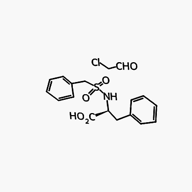 O=C(O)[C@H](Cc1ccccc1)NS(=O)(=O)Cc1ccccc1.O=CCCl